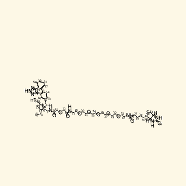 CCCCc1nc(CI)c(CNC(=O)COCC(=O)NCCOCCOCCOCCOCCOCCNC(=O)CCCC[C@@H]2SC[C@@H]3NC(=O)N[C@@H]32)n1Cc1ccc(-c2ccccc2-c2nn[nH]n2)cc1